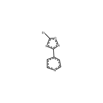 [CH2]Cc1nc(-c2ccncc2)no1